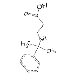 CC(C)(NCCC(=O)O)c1ccccc1